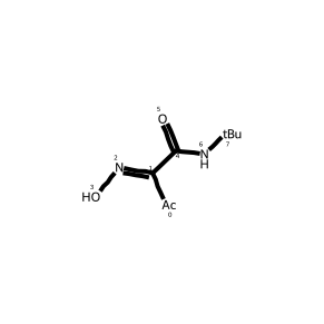 CC(=O)/C(=N\O)C(=O)NC(C)(C)C